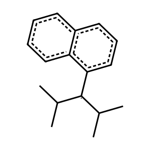 CC(C)[C](c1cccc2ccccc12)C(C)C